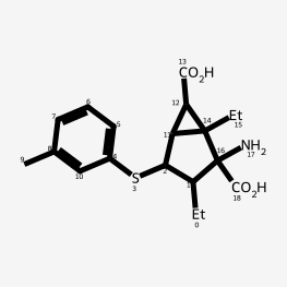 CCC1C(Sc2cccc(C)c2)C2C(C(=O)O)C2(CC)C1(N)C(=O)O